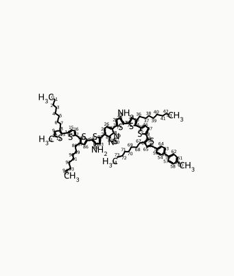 CCCCCCCCc1cc(C)sc1-c1ccc(-c2sc(-c3sc(-c4ccc(-c5cc(N)c(-c6cc(CCCCCCCC)c(-c7ccc(-c8sc(-c9ccc(-c%10ccc(C)cc%10)cc9)cc8CCCCCCCC)s7)s6)s5)c5nsnc45)cc3N)cc2CCCCCCCC)s1